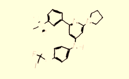 CS(=O)(=O)c1cccc(-c2cc(Nc3ccc(OC(F)(F)F)cc3)cc(N3CCCC3)n2)c1